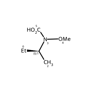 CC[C@H](C)N(OC)C(=O)O